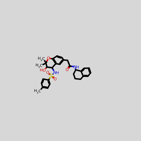 Cc1ccc(S(=O)(=O)NC2c3cc(CC(=O)NC4CCCc5ccccc54)ccc3OC(C)(C)C2O)cc1